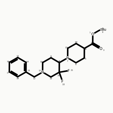 CC(C)(C)OC(=O)C1CCN(C2CCN(Cc3ccccc3)CC2(F)F)CC1